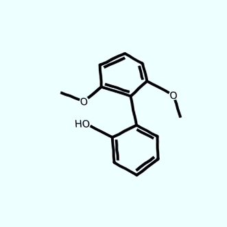 COc1cccc(OC)c1-c1ccccc1O